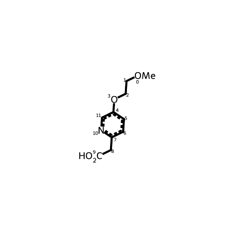 COCCOc1ccc(CC(=O)O)nc1